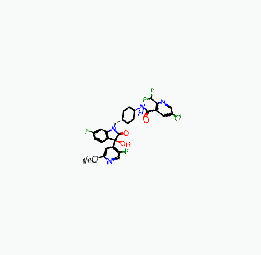 COc1cc(C2(O)C(=O)N(C[C@H]3CC[C@H](NC(=O)c4cc(Cl)cnc4C(F)F)CC3)c3cc(F)ccc32)c(F)cn1